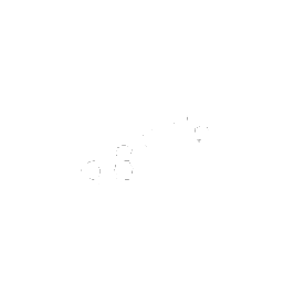 COc1cnc(-c2cnccn2)c2[nH]cc(C(=O)C(=O)N3CCN(C(=O)c4csnn4)CC3)c12